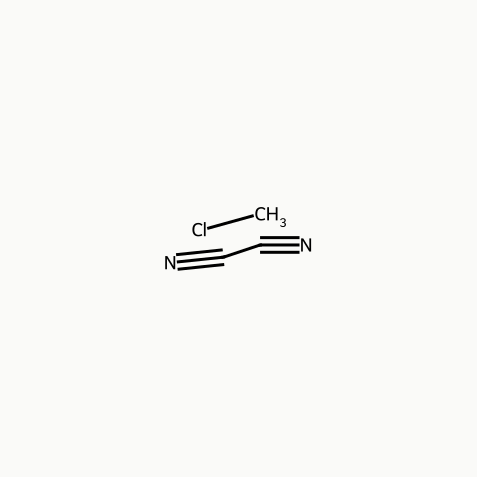 CCl.N#CC#N